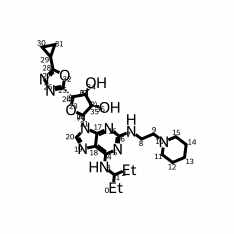 CCC(CC)Nc1nc(NCCN2CCCCC2)nc2c1ncn2[C@@H]1O[C@H](c2nnc(C3CC3)o2)[C@@H](O)[C@H]1O